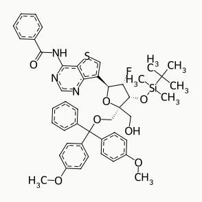 COc1ccc(C(OC[C@]2(CO)O[C@@H](c3csc4c(NC(=O)c5ccccc5)ncnc34)[C@H](F)[C@@H]2O[Si](C)(C)C(C)(C)C)(c2ccccc2)c2ccc(OC)cc2)cc1